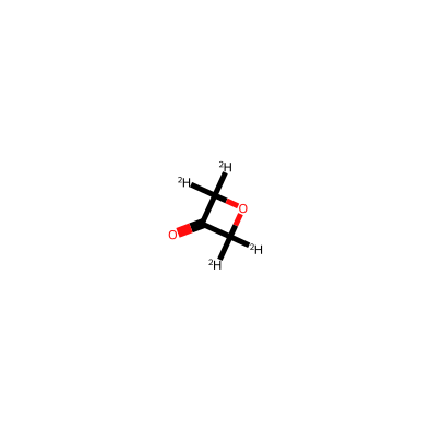 [2H]C1([2H])OC([2H])([2H])C1=O